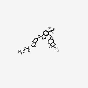 COC(=O)C[C@@H]1COc2cc(O[C@@H]3CCc4c3ccc(C(F)(F)F)c4CN3CCC4OC(C)=NC4C3)ccc21